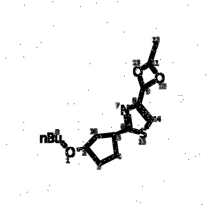 CCCCO[C@H]1CC[C@H](c2nc(C3OC(C)O3)cs2)C1